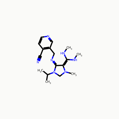 CNC(NC)=C1/C(=N\Cc2cnccc2C#N)N(C(C)C)CN1C